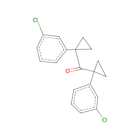 O=C(C1(c2cccc(Cl)c2)CC1)C1(c2cccc(Cl)c2)CC1